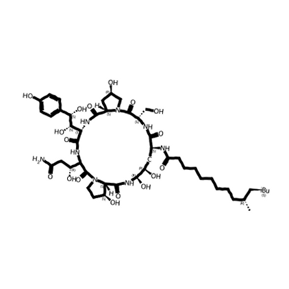 CC[C@H](C)C[C@H](C)CCCCCCCCC(=O)N[C@H]1C[C@@H](O)[C@@H](O)NC(=O)[C@@H]2[C@@H](O)CCN2C(=O)C([C@H](O)CC(N)=O)NC(=O)[C@H]([C@H](O)[C@@H](O)c2ccc(O)cc2)NC(=O)[C@@H]2C[C@@H](O)CN2C(=O)[C@H](CO)NC1=O